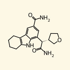 NC(=O)c1cc(C(C(N)=O)[C@@H]2CCOC2)c2[nH]c3c(c2c1)CCCC3